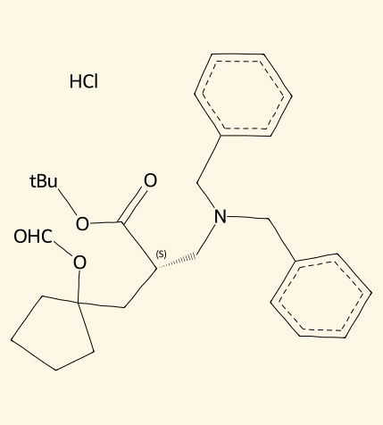 CC(C)(C)OC(=O)[C@H](CN(Cc1ccccc1)Cc1ccccc1)CC1(OC=O)CCCC1.Cl